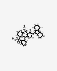 CC1(C)c2ccncc2N2c3ncc(-n4c5ccccc5c5ccccc54)cc3C(C)(C)c3nccc1c32